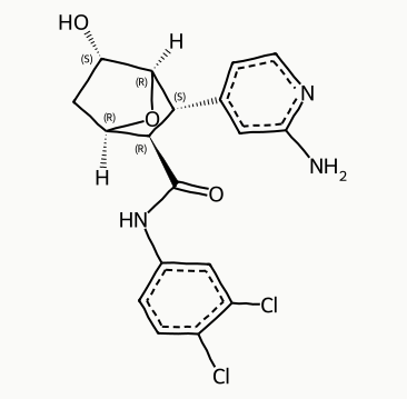 Nc1cc([C@H]2[C@H]3O[C@H](C[C@@H]3O)[C@@H]2C(=O)Nc2ccc(Cl)c(Cl)c2)ccn1